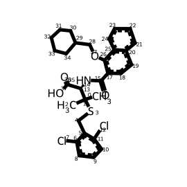 CC(C)(SCc1c(Cl)cccc1Cl)[C@H](NC(=O)c1ccc2ccccc2c1OCC1CCCCC1)C(=O)O